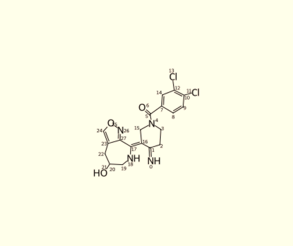 N=C1CCN(C(=O)c2ccc(Cl)c(Cl)c2)C/C1=C1/NCC(O)Cc2conc21